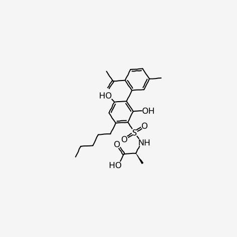 C=C(C)c1ccc(C)cc1-c1c(O)cc(CCCCC)c(S(=O)(=O)N[C@@H](C)C(=O)O)c1O